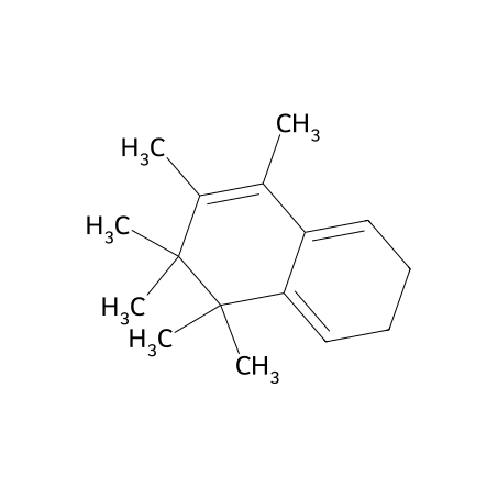 CC1=C(C)C(C)(C)C(C)(C)C2=CCCC=C21